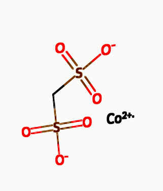 O=S(=O)([O-])CS(=O)(=O)[O-].[Co+2]